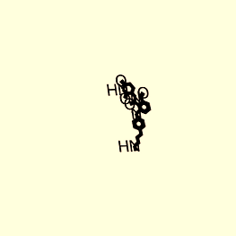 CNCCCc1ccc(N(C)c2cccc3c2C(=O)N(C2CCC(=O)NC2=O)C3=O)cc1